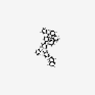 c1ccc(N(c2ccc(-c3ccc4c(c3)[Si](c3ccccc3)(c3ccccc3)c3ccccc3N4c3ccccc3)cc2)c2ccc(-c3ccc4ccccc4c3)cc2)cc1